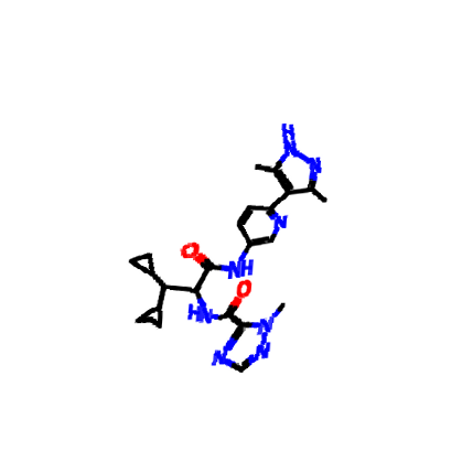 Cc1n[nH]c(C)c1-c1ccc(NC(=O)[C@@H](NC(=O)c2ncnn2C)C(C2CC2)C2CC2)cn1